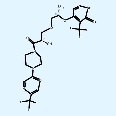 C[C@@H](COC[C@H](O)C(=O)N1CCN(c2cnc(C(F)(F)F)cn2)CC1)Oc1cn[nH]c(=O)c1C(F)(F)F